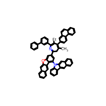 CCC1=C(c2cccc(-c3ccccc3)c2)N=C(c2cc(-n3c4ccccc4c4cc5ccccc5cc43)c3c(c2)oc2cc4ccccc4cc23)CC(C)=C1c1ccc2c(ccc3ccccc32)c1